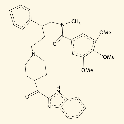 COc1cc(C(=O)N(C)CC(CCN2CCC(C(=O)c3nc4ccccc4[nH]3)CC2)c2ccccc2)cc(OC)c1OC